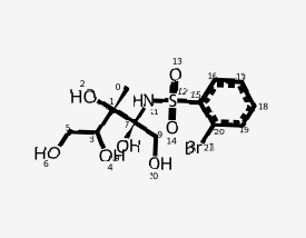 C[C@](O)(C(O)CO)[C@@](O)(CO)NS(=O)(=O)c1ccccc1Br